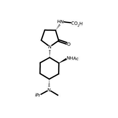 CC(=O)N[C@H]1C[C@H](N(C)C(C)C)CC[C@@H]1N1CC[C@H](NC(=O)O)C1=O